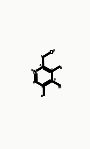 Cc1cnc(C[O])c(C)c1C